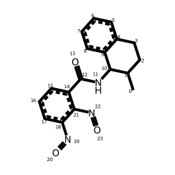 CC1CCc2ccccc2C1NC(=O)c1cccc(N=O)c1N=O